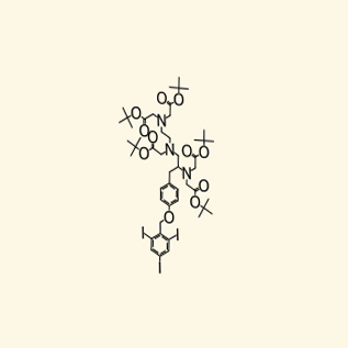 CC(C)(C)OC(=O)CN(CCN(CC(=O)OC(C)(C)C)CC(Cc1ccc(OCc2c(I)cc(I)cc2I)cc1)N(CC(=O)OC(C)(C)C)CC(=O)OC(C)(C)C)CC(=O)OC(C)(C)C